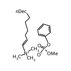 CCCCCCCCCCCCCCC=C[N+](C)(C)C.COP(=O)([O-])Oc1ccccc1